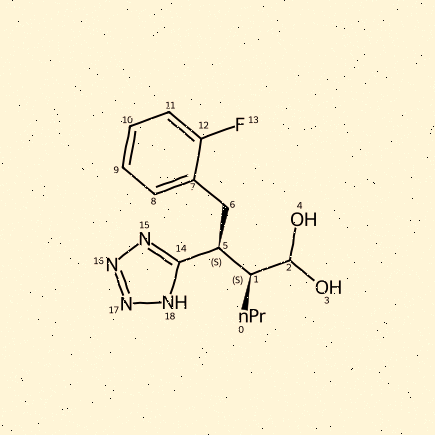 CCC[C@H](C(O)O)[C@H](Cc1ccccc1F)c1nnn[nH]1